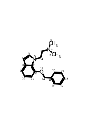 CN(C)CCn1ccc2cccc(OCc3ccccc3)c21